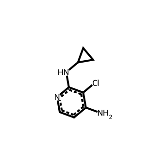 Nc1ccnc(NC2CC2)c1Cl